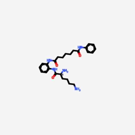 NCCCC[C@H](N)C(=O)Nc1ccccc1NC(=O)CCCCCC(=O)Nc1ccccc1